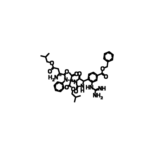 CC(=O)[C@](C(=O)OCC(C)C)(N1C(=O)NC(c2ccc(C(=O)OCc3ccccc3)cc2NC(=N)N)C1=O)N(C(=O)[C@@H](N)CC(=O)OCC(C)C)c1ccccc1